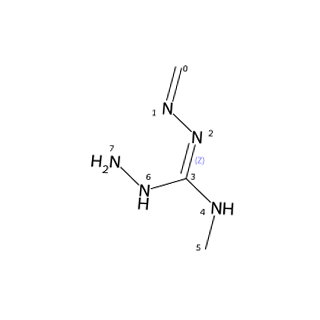 C=N/N=C(/NC)NN